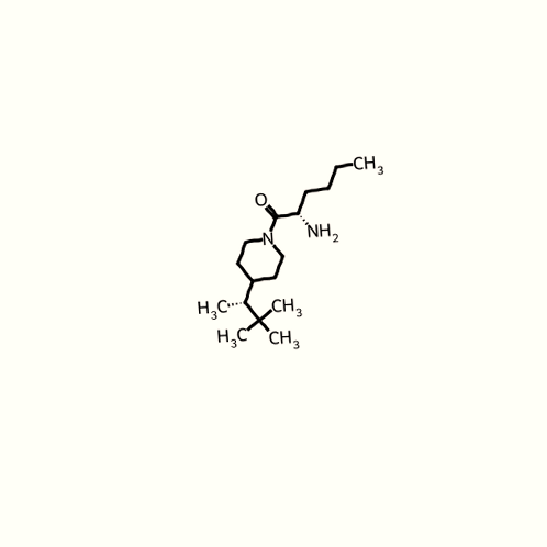 CCCC[C@H](N)C(=O)N1CCC([C@@H](C)C(C)(C)C)CC1